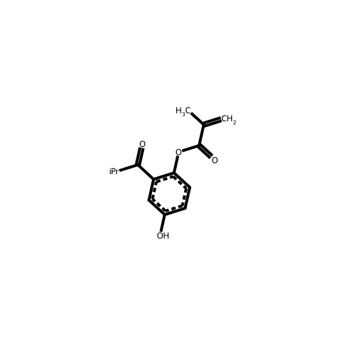 C=C(C)C(=O)Oc1ccc(O)cc1C(=O)C(C)C